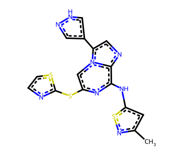 Cc1cc(Nc2nc(Sc3nccs3)cn3c(-c4cn[nH]c4)cnc23)sn1